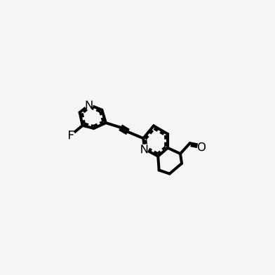 O=CC1CCCc2nc(C#Cc3cncc(F)c3)ccc21